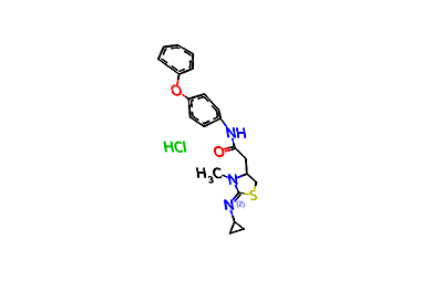 CN1/C(=N/C2CC2)SCC1CC(=O)Nc1ccc(Oc2ccccc2)cc1.Cl